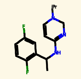 CC(NC1=NCN(C(C)C)C=C1)c1cc(F)ccc1F